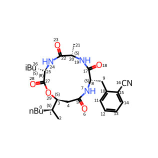 CCCC[C@H](C)[C@@H]1CC(=O)N[C@@H](Cc2ccccc2C#N)C(=O)N[C@@H](C)C(=O)N[C@H]([C@@H](C)CC)C(=O)O1